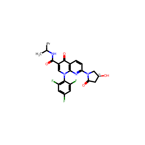 CC(C)C(C)NC(=O)c1cn(-c2c(F)cc(F)cc2F)c2nc(N3C[C@@H](O)CC3=O)ccc2c1=O